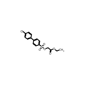 CCOC(=O)COS(=O)(=O)c1ccc(-c2ccc(Cl)cc2)cc1